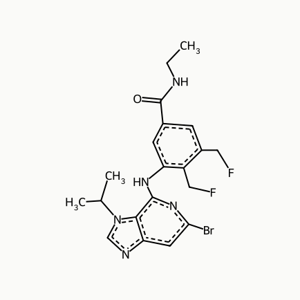 CCNC(=O)c1cc(CF)c(CF)c(Nc2nc(Br)cc3ncn(C(C)C)c23)c1